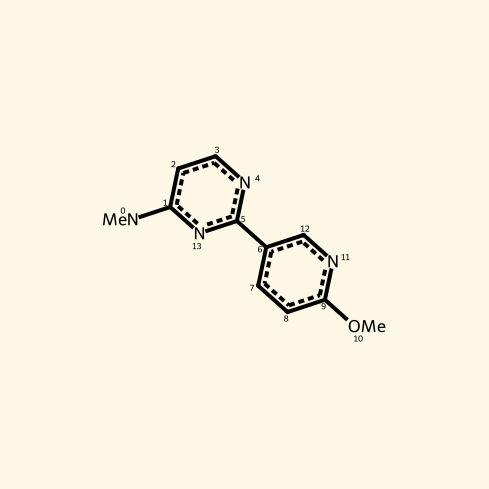 CNc1ccnc(-c2ccc(OC)nc2)n1